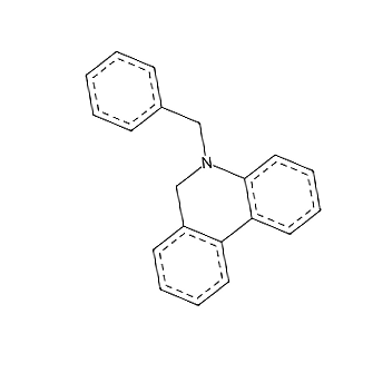 c1ccc(CN2Cc3ccccc3-c3ccccc32)cc1